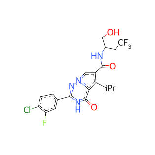 CC(C)c1c(C(=O)NC(CO)CC(F)(F)F)cn2nc(-c3ccc(Cl)c(F)c3)[nH]c(=O)c12